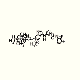 COc1cc2c(Nc3cnn(CC(=O)Nc4cccc(F)c4F)c3)ncnc2cc1OCCCN1CCC(C(C)(C)C)[C]1C(C)(C)C